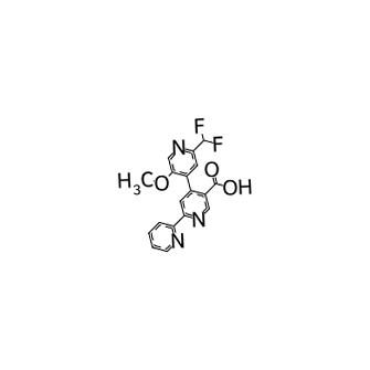 COc1cnc(C(F)F)cc1-c1cc(-c2ccccn2)ncc1C(=O)O